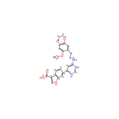 COc1cc2c(cc1CCNc1cc(-c3ccc4c(C(=O)O)coc4c3)ncn1)OCCO2